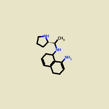 CC(NC1CC=CC2=C1C(N)=CCC2)[C@@H]1CCCN1